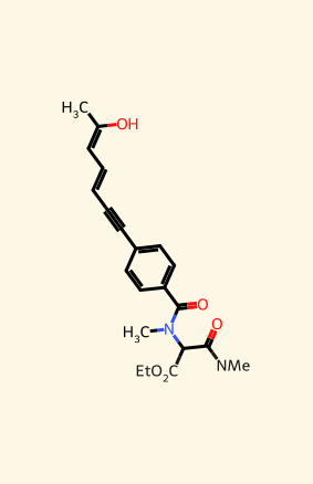 CCOC(=O)C(C(=O)NC)N(C)C(=O)c1ccc(C#C/C=C/C=C(/C)O)cc1